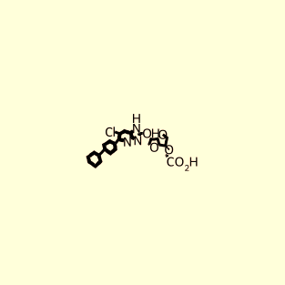 O=C(O)CO[C@@H]1CO[C@H]2C1OC[C@H]2Oc1nc2nc(-c3ccc(-c4ccccc4)cc3)c(Cl)cc2[nH]1